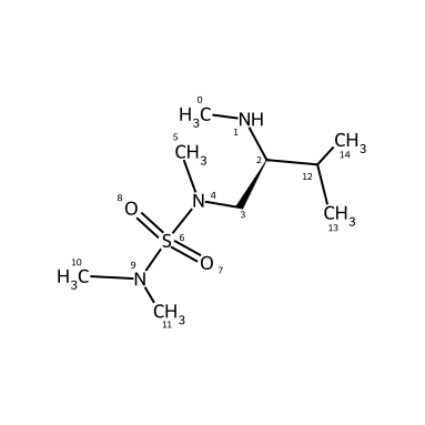 CN[C@H](CN(C)S(=O)(=O)N(C)C)C(C)C